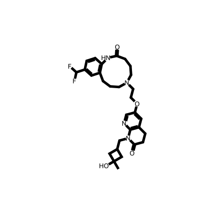 CC1(O)CC(CN2C(=O)CCc3cc(OCCN4CCCC(=O)Nc5ccc(C(F)F)cc5CCC4)cnc32)C1